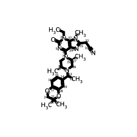 CCn1c(=O)nc(N2C[C@@H](C)N(C(C)c3ccc4c(c3)OC(C)(C)CO4)C[C@@H]2C)c2nc(CC#N)n(C)c21